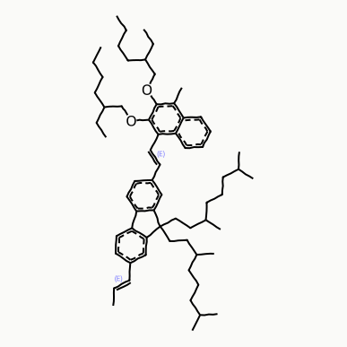 C/C=C/c1ccc2c(c1)C(CCC(C)CCCC(C)C)(CCC(C)CCCC(C)C)c1cc(/C=C/c3c(OCC(CC)CCCC)c(OCC(CC)CCCC)c(C)c4ccccc34)ccc1-2